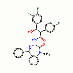 CN1C(=O)[C@@H](NC(=O)[C@H](c2ccc(F)cc2)[C@@H](O)c2ccc(F)c(F)c2)N=C(c2ccccc2)c2ccccc21